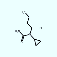 CCCCN(C(N)=O)C1CC1.Cl